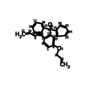 C=CCOc1ccc(OCC=C)c(P(=O)(c2ccccc2)c2ccccc2)c1